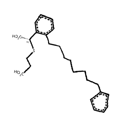 O=C(O)CCS[C@H](C(=O)O)c1ccccc1CCCCCCCCc1ccccc1